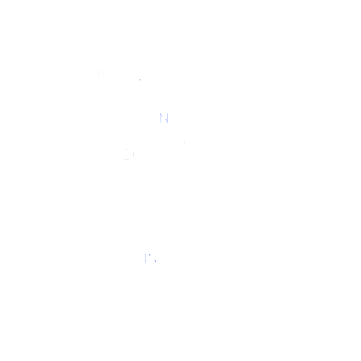 CCC1CC2(O)CC(C2)N1C(=O)CC(C)c1c[nH]c2ccc(C)c(C3CC3)c12